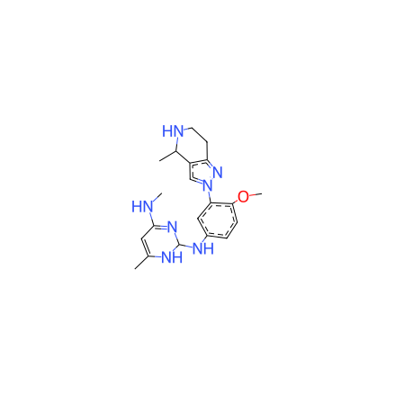 CNC1=NC(Nc2ccc(OC)c(-n3cc4c(n3)CCNC4C)c2)NC(C)=C1